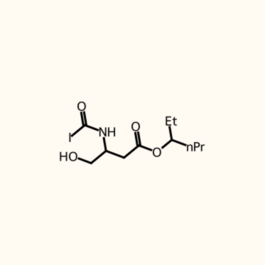 CCCC(CC)OC(=O)CC(CO)NC(=O)I